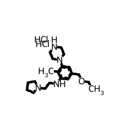 CCOCc1cc(NCCN2CCCC2)c(C)c(N2CCNCC2)c1.Cl.Cl